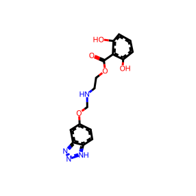 O=C(OCCNCOc1ccc2[nH]nnc2c1)c1c(O)cccc1O